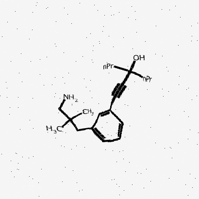 CCCC(O)(C#Cc1cccc(CC(C)(C)CN)c1)CCC